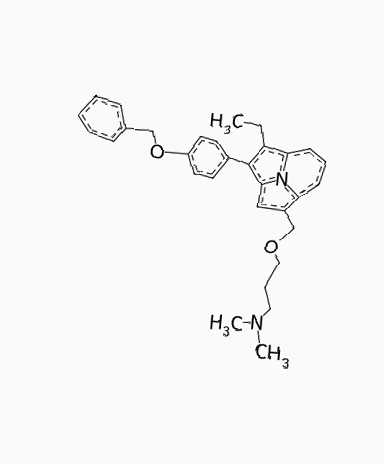 CCc1c(-c2ccc(OCc3ccccc3)cc2)c2cc(COCCCN(C)C)c3cccc1n32